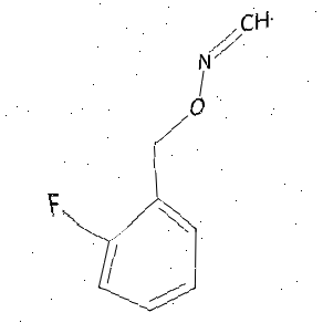 [CH]=NOCc1ccccc1F